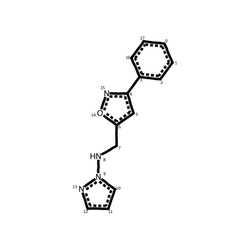 c1ccc(-c2cc(CNn3cccn3)on2)cc1